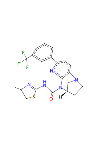 CC1CSC(NC(=O)N2c3nc(-c4cccc(C(F)(F)F)c4)ccc3N3CC[C@H]2C3)=N1